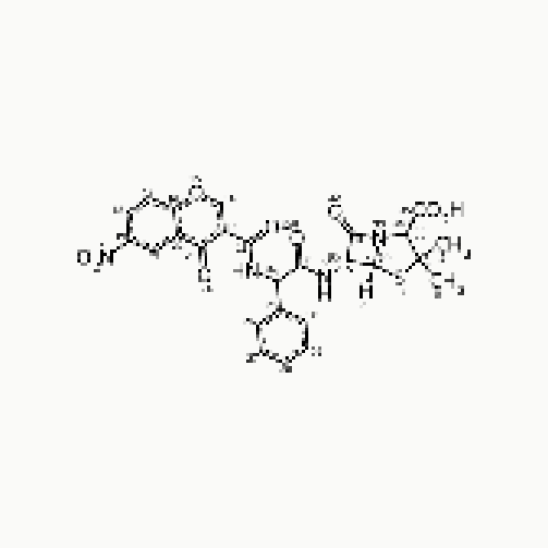 CC1(C)S[C@@H]2[C@H](NC(=O)C(NC(=O)c3coc4ccc([N+](=O)[O-])cc4c3=O)c3ccccc3)C(=O)N2[C@H]1C(=O)O